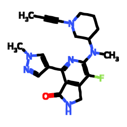 CC#CN1CCCC(N(C)c2nc(-c3cnn(C)c3)c3c(c2F)CNC3=O)C1